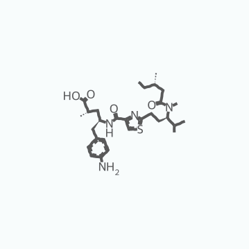 CC[C@H](C)CC(=O)N(C)[C@H](CCc1nc(C(=O)N[C@@H](Cc2ccc(N)cc2)C[C@H](C)C(=O)O)cs1)C(C)C